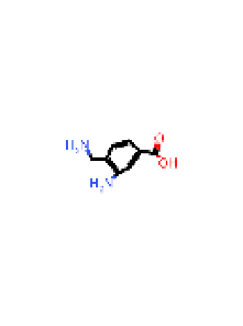 NCc1ccc(C(=O)O)cc1N